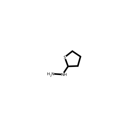 NNC1CCCS1